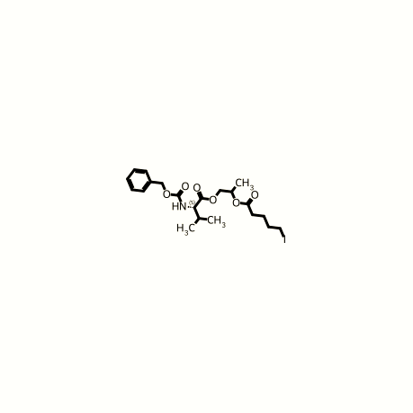 CC(COC(=O)[C@@H](NC(=O)OCc1ccccc1)C(C)C)OC(=O)CCCCI